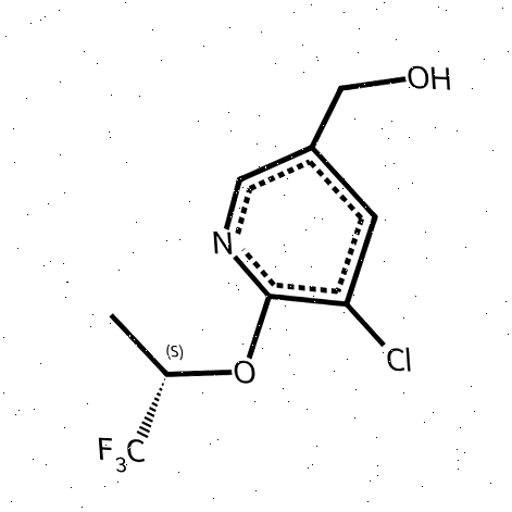 C[C@H](Oc1ncc(CO)cc1Cl)C(F)(F)F